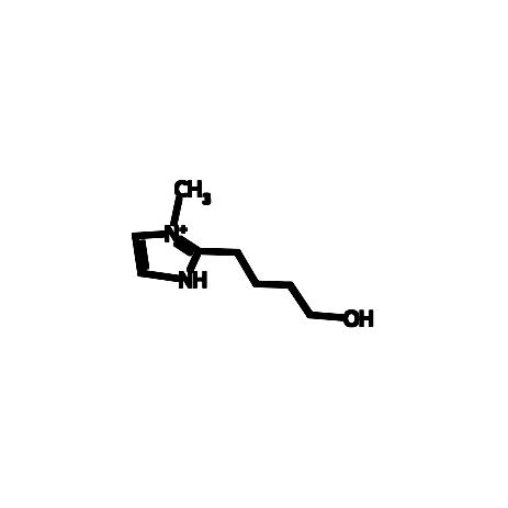 C[n+]1cc[nH]c1CCCCO